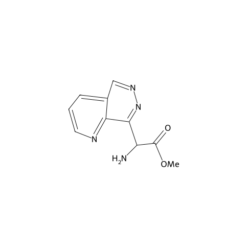 COC(=O)C(N)c1nncc2cccnc12